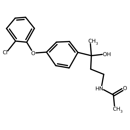 CC(=O)NCCC(C)(O)c1ccc(Oc2ccccc2Cl)cc1